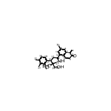 C=C1C(=O)C=Cc2c1cc(C)cc2C(=N)CC(c1ccc(C)c(C)c1Cl)C(C)(CO)C(F)(F)F